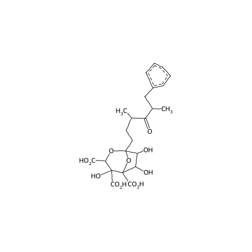 CC(CCC12OC(C(=O)O)C(O)(C(=O)O)C(C(=O)O)(O1)C(O)C2O)C(=O)C(C)Cc1ccccc1